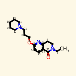 CCN1CCc2nc(OCCCN3CCCCC3)ccc2C1=O